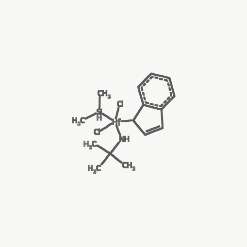 C[SiH](C)[Hf]([Cl])([Cl])([NH]C(C)(C)C)[CH]1C=Cc2ccccc21